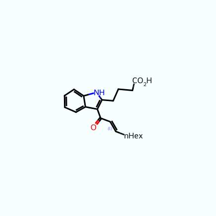 CCCCCC/C=C/C(=O)c1c(CCCC(=O)O)[nH]c2ccccc12